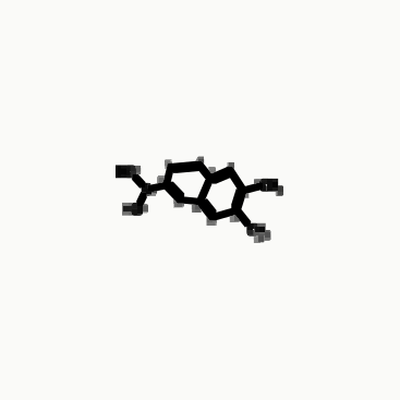 Cc1cc2ccc(B(O)O)cc2cc1C